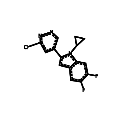 Fc1cc2cc(-c3cnnc(Cl)c3)n(C3CC3)c2cc1F